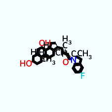 C[C@H](CCC(=O)N1c2ccc(F)cc2CC1(C)C)[C@H]1CC[C@H]2[C@@H]3[C@@H](O)C[C@@H]4C[C@H](O)CC[C@]4(C)[C@H]3CC[C@]12C